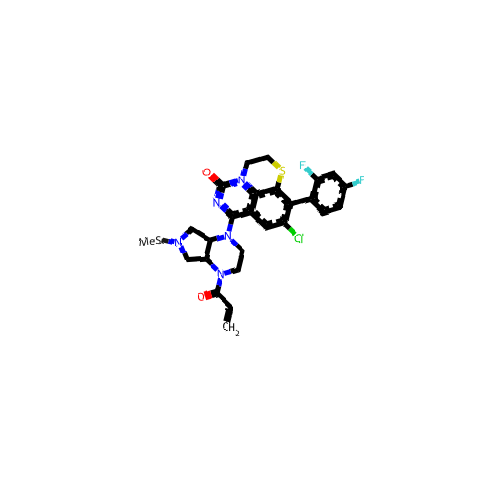 C=CC(=O)N1CCN(c2nc(=O)n3c4c(c(-c5ccc(F)cc5F)c(Cl)cc24)SCC3)C2CN(SC)CC21